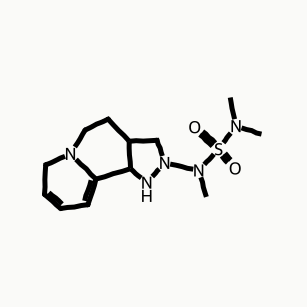 CN(C)S(=O)(=O)N(C)N1CC2CCN3CC=CC=C3C2N1